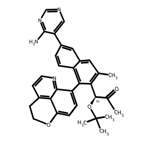 CC(=O)[C@@H](OC(C)(C)C)c1c(C)cc2cc(-c3cncnc3N)ccc2c1-c1ccc2c3c(ccnc13)CCO2